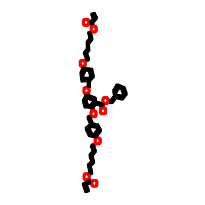 C=CC(=O)OCCCCCCOc1ccc(COc2ccc(OCc3ccc(OCCCCCCOC(=O)C=C)cc3)c(C(=O)OCc3ccccc3)c2)cc1